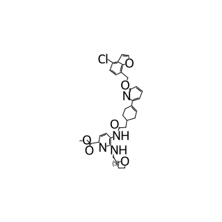 COC(=O)c1ccc(NC(=O)CC2CC=C(c3cccc(OCc4ccc(Cl)c5ccoc45)n3)CC2)c(NC[C@@H]2CCO2)n1